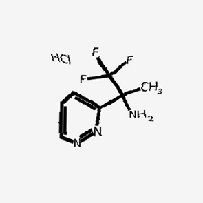 CC(N)(c1cccnn1)C(F)(F)F.Cl